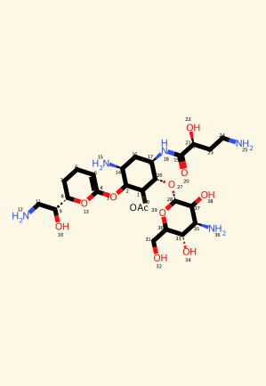 CC(=O)OC1C(OC2=CCC[C@@H](C(O)CN)O2)[C@@H](N)C[C@@H](NC(=O)[C@@H](O)CCN)[C@@H]1O[C@H]1OC(CO)[C@@H](O)[C@H](N)C1O